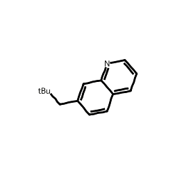 CC(C)(C)Cc1ccc2cccnc2c1